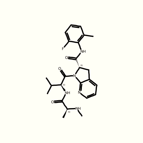 CN[C@@H](C)C(=O)N[C@H](C(=O)N1c2ncccc2C[C@H]1C(=O)Nc1c(C)cccc1F)C(C)C